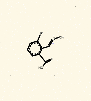 O=C(O)c1cccc(Br)c1/C=N/O